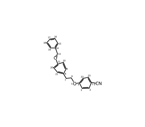 N#Cc1ccc(OCCc2ccc(OCc3ccccc3)cc2)cc1